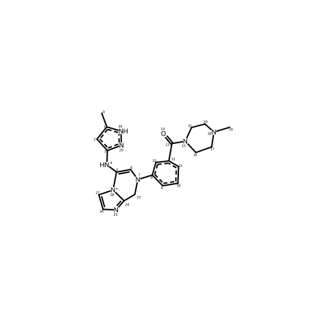 Cc1cc(NC2=CN(c3cccc(C(=O)N4CCN(C)CC4)c3)CC3=NC=C[N+]23)n[nH]1